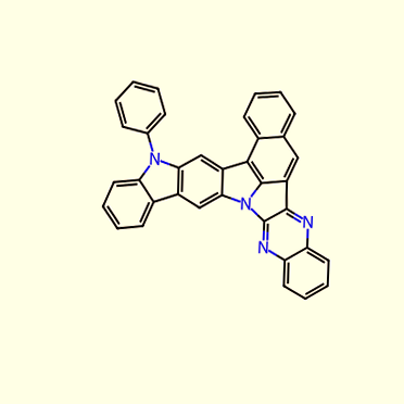 c1ccc(-n2c3ccccc3c3cc4c(cc32)c2c3ccccc3cc3c5nc6ccccc6nc5n4c32)cc1